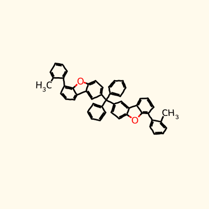 Cc1ccccc1-c1cccc2c1oc1ccc(C(c3ccccc3)(c3ccccc3)c3ccc4oc5c(-c6ccccc6C)cccc5c4c3)cc12